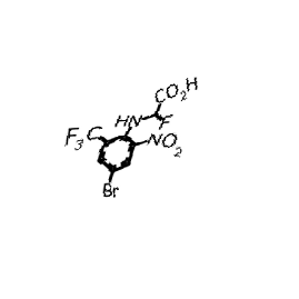 O=C(O)C(F)Nc1c([N+](=O)[O-])cc(Br)cc1C(F)(F)F